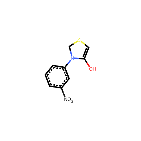 O=[N+]([O-])c1cccc(N2CSC=C2O)c1